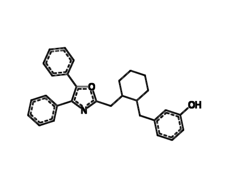 Oc1cccc(CC2CCCCC2Cc2nc(-c3ccccc3)c(-c3ccccc3)o2)c1